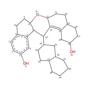 Oc1ccc2c(c1)C1C(CC2)OC2CCC3CCC(O)CC3=C2C1C1CCC2CCCCC2C1